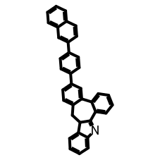 c1ccc2c(c1)N=C1c3ccccc3-c3cc(-c4ccc(-c5ccc6ccccc6c5)cc4)ccc3CC12